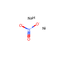 O=[N+]([O-])[O-].[NaH].[Ni]